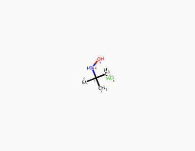 CCC(C)(C)NO.Cl